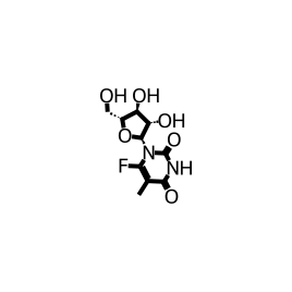 Cc1c(F)n([C@@H]2O[C@H](CO)[C@@H](O)[C@@H]2O)c(=O)[nH]c1=O